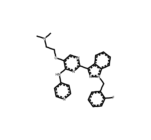 CN(C)CCOc1cnc(-c2nn(Cc3ccccc3F)c3ccccc23)nc1Nc1ccncc1